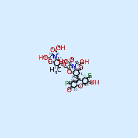 Cc1ccc(N(CC(=O)O)CC(=O)O)cc1OCCOc1cc(-c2c3cc(F)c(=O)cc-3oc3cc(O)c(F)cc23)ccc1N(CC(=O)O)CC(=O)O